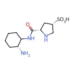 N[C@@H]1CCCCC1NC(=O)[C@@H]1C[C@H](S(=O)(=O)O)CN1